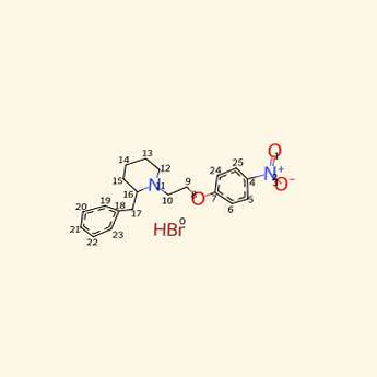 Br.O=[N+]([O-])c1ccc(OCCN2CCCCC2Cc2ccccc2)cc1